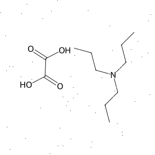 CCCN(CCC)CCC.O=C(O)C(=O)O